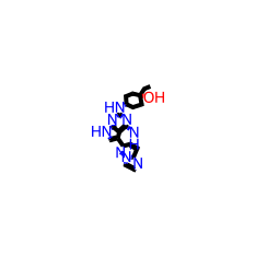 CCC1(O)CCC(Nc2nc(NC)c3c(-c4ccc5nccn5n4)c[nH]c3n2)CC1